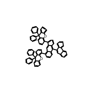 c1ccc(C2(c3ccccc3)c3ccccc3Oc3c(-c4cccc5c(-c6cc7ccccc7c7ccccc67)c6cccc(-c7cccc8c7Oc7ccccc7C8(c7ccccc7)c7ccccc7)c6cc45)cccc32)cc1